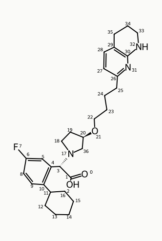 O=C(O)[C@H](c1cc(F)ccc1C1CCCCC1)N1CC[C@@H](OCCCCc2ccc3c(n2)NCCC3)C1